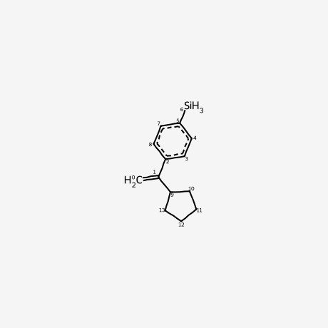 C=C(c1ccc([SiH3])cc1)C1CCCC1